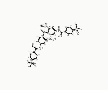 C=C(c1ccc(NC(=O)c2ccc(S(C)(=O)=O)cc2)cc1S(=O)(=O)O)c1ccc(NC(=O)c2ccc(S(C)(=O)=O)cc2)cc1S(=O)(=O)O